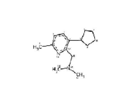 Cc1ccc(C2CCCC2)c(CN(C)C)n1